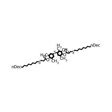 CCCCCCCCCCCCCCCCCCSCCC(=O)Oc1c(C)cc(Sc2cc(C)c(OC(=O)CCSCCCCCCCCCCCCCCCCCC)c(C)c2C)cc1C